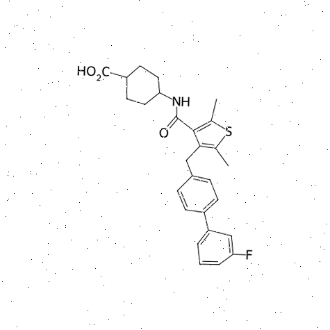 Cc1sc(C)c(C(=O)NC2CCC(C(=O)O)CC2)c1Cc1ccc(-c2cccc(F)c2)cc1